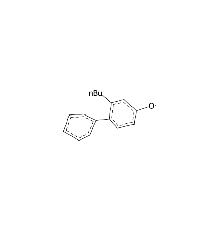 CCCCc1cc([O])ccc1-c1ccccc1